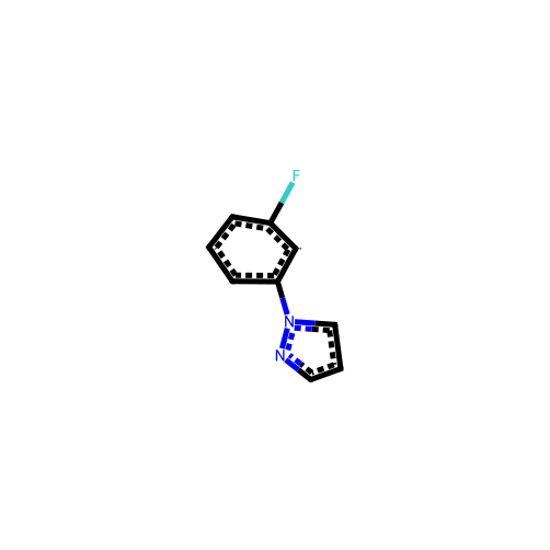 Fc1[c]c(-n2cccn2)ccc1